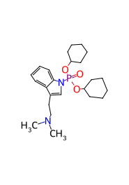 CN(C)CCc1cn(P(=O)(OC2CCCCC2)OC2CCCCC2)c2ccccc12